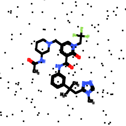 CC(=O)NC1CCCN(Cc2cc(C(=O)Nc3cccc(C(C)(C)Cc4nncn4C)c3)c(=O)n(CC(F)(F)F)c2)C1